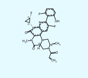 C=CC(=O)N1C[C@@H]2C(=O)N(C)c3c(c4cc(F)c(-c5c(O)cccc5F)nc4n([C@@H]4C[C@@H]4F)c3=O)N2C[C@H]1C